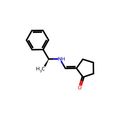 C[C@H](N/C=C1\CCCC1=O)c1ccccc1